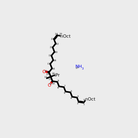 CCCCCCCC/C=C\CCCCCCCC(=O)C(C)(C(=O)CCCCCCC/C=C\CCCCCCCC)C(C)C.N